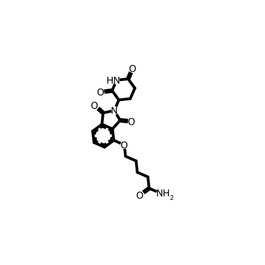 NC(=O)CCCCOc1cccc2c1C(=O)N(C1CCC(=O)NC1=O)C2=O